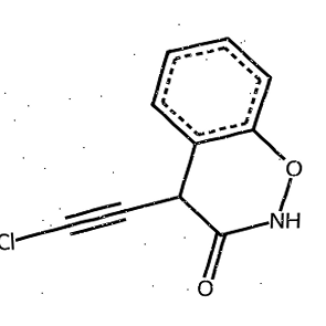 O=C1NOc2ccccc2C1C#CCl